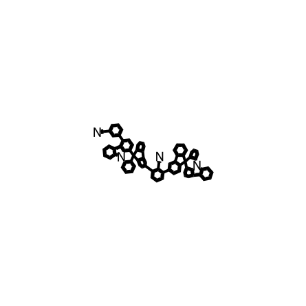 N#Cc1cccc(-c2ccc3c4c2c2ccccc2n4-c2ccccc2C32c3ccccc3-c3cc(-c4cccc(-c5ccc6c(c5)-c5ccccc5C65c6ccccc6-n6c7ccccc7c7cccc5c76)c4C#N)ccc32)c1